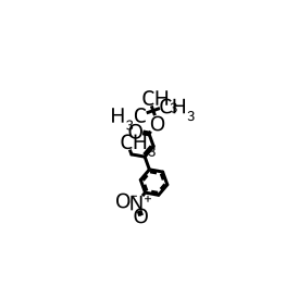 CC/C(=C\C(=O)OC(C)(C)C)c1cccc([N+](=O)[O-])c1